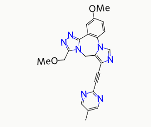 COCc1nnc2n1Cc1c(C#Cc3ncc(C)cn3)ncn1-c1ccc(OC)cc1-2